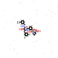 CCc1cccc(CNC[C@@H](O)[C@H](Cc2cc(F)cc(F)c2)NC(=O)c2cccc(S(O)(O)N3CCC[C@H]3CO)c2)c1